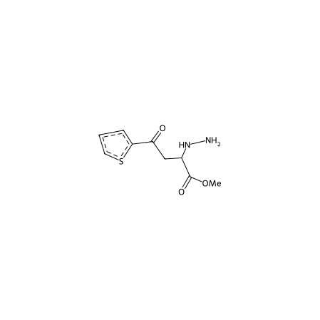 COC(=O)C(CC(=O)c1cccs1)NN